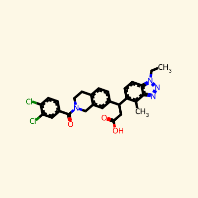 CCn1nnc2c(C)c(C(CC(=O)O)c3ccc4c(c3)CN(C(=O)c3ccc(Cl)c(Cl)c3)CC4)ccc21